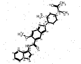 COc1cc2nn([C@@H]3CC[C@@H](N(C)C(C)=O)C[C@H]3C)cc2cc1C(=O)Nc1cnn2cccnc12